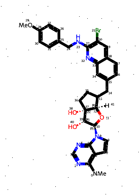 CNc1ncnc2c1ccn2[C@@H]1O[C@@H]2C(Cc3ccc4cc(Br)c(NCc5ccc(OC)cc5)nc4c3)CC[C@]2(O)[C@H]1O